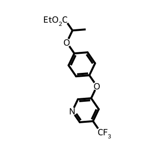 CCOC(=O)C(C)Oc1ccc(Oc2cncc(C(F)(F)F)c2)cc1